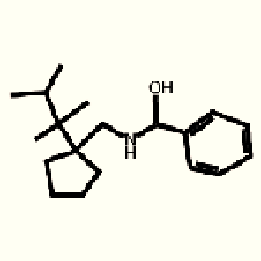 CC(C)C(C)(C)C1(CNC(O)c2ccccc2)CCCC1